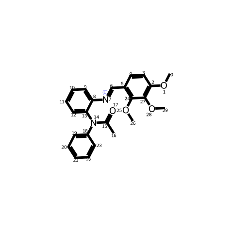 COc1ccc(/C=N/c2ccccc2N(C(C)=O)c2ccccc2)c(OC)c1OC